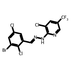 FC(F)(F)c1cnc(N/N=C/c2cc(Cl)cc(Br)c2Cl)c(Cl)c1